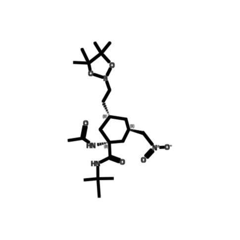 CC(=O)N[C@]1(C(=O)NC(C)(C)C)C[C@H](CCB2OC(C)(C)C(C)(C)O2)C[C@@H](C[N+](=O)[O-])C1